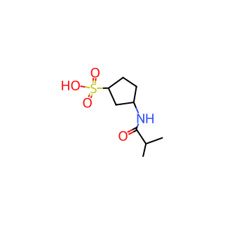 CC(C)C(=O)NC1CCC(S(=O)(=O)O)C1